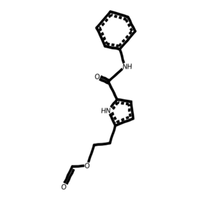 O=COCCc1ccc(C(=O)Nc2ccccc2)[nH]1